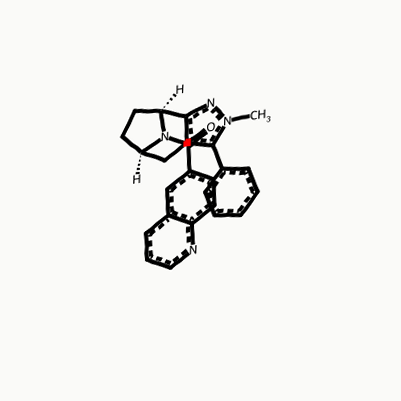 Cn1nc2c(c1-c1ccccc1)C[C@H]1CC[C@@H]2N1C(=O)c1ccc2ncccc2c1